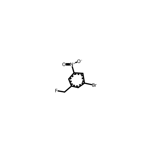 O=[N+]([O-])c1cc(Br)cc(CF)c1